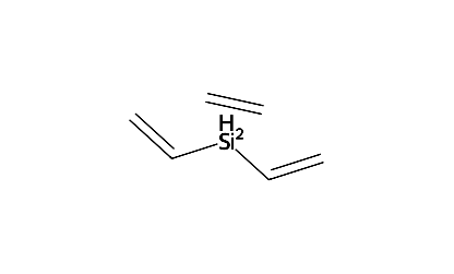 C=C.C=C[SiH2]C=C